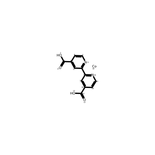 O=C(O)c1ccnc(-c2cc(C(=O)O)ccn2)c1.[Co]